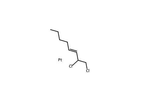 CCCCC=CC(Cl)CCl.[Pt]